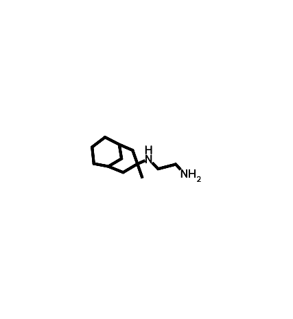 CC1(NCCN)CC2CCCC(C2)C1